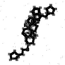 C[C@]12CC[C@H]3[C@@H](CC=C4C[C@@H](OCCN5CCCC5)CC[C@@]43C)[C@@]1(O)CC[C@]2(OCCN1CCCC1)c1ccco1